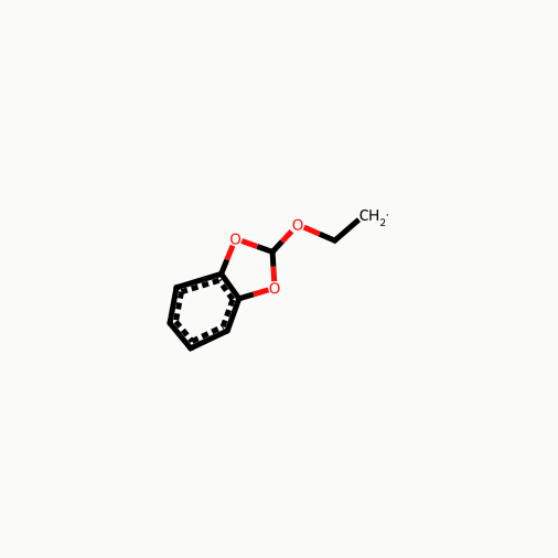 [CH2]COC1Oc2ccccc2O1